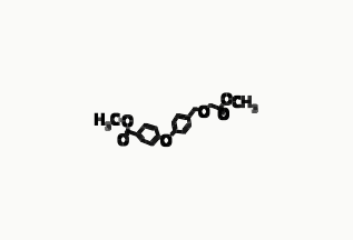 COC(=O)COCc1ccc(Oc2ccc(C(=O)OC)cc2)cc1